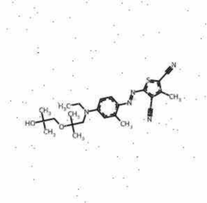 CCN(CC(C)(C)OCC(C)(C)O)c1ccc(/N=N/c2sc(C#N)c(C)c2C#N)c(C)c1